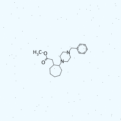 COC(=O)CC1CCCCCC1N1CCN(Cc2ccccc2)CC1